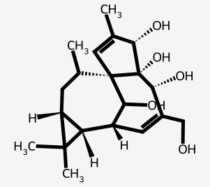 CC1=C[C@@]23C(C)C[C@@H]4[C@H]([C@@H](C=C(CO)[C@@H](O)[C@]2(O)[C@H]1O)C3O)C4(C)C